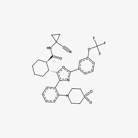 N#CC1(NC(=O)[C@@H]2CCCC[C@H]2c2oc(-c3cccc(OC(F)(F)F)c3)nc2-c2ccccc2N2CCS(=O)(=O)CC2)CC1